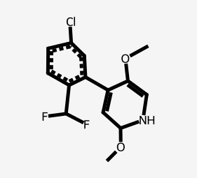 COC1=CNC(OC)C=C1c1cc(Cl)ccc1C(F)F